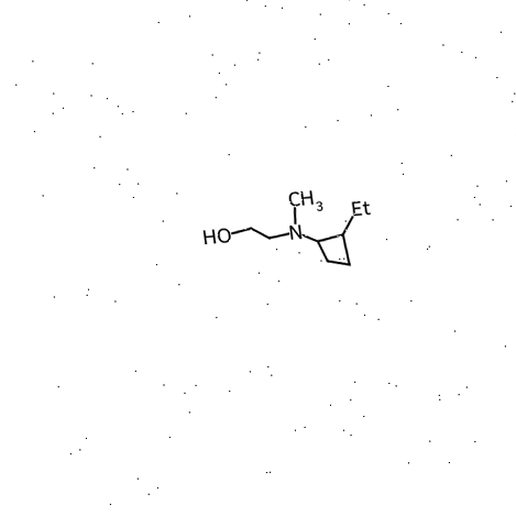 CCC1CCC1N(C)CCO